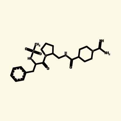 CS(=O)(=O)NC(Cc1ccccc1)C(=O)N1CCCC1CNC(=O)C1CCN(C(=N)N)CC1